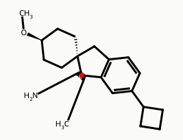 CO[C@H]1CC[C@]2(CC1)Cc1ccc(C3CCC3)cc1C21N=C(C)C(N)=N1